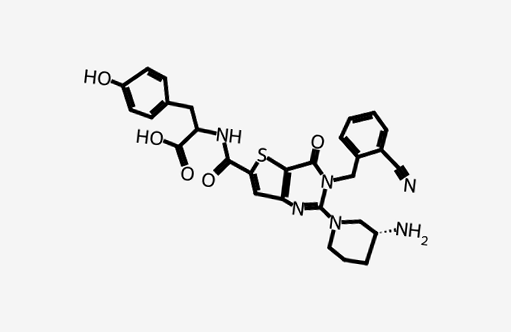 N#Cc1ccccc1Cn1c(N2CCC[C@@H](N)C2)nc2cc(C(=O)NC(Cc3ccc(O)cc3)C(=O)O)sc2c1=O